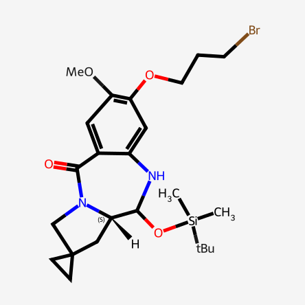 COc1cc2c(cc1OCCCBr)NC(O[Si](C)(C)C(C)(C)C)[C@@H]1CC3(CC3)CN1C2=O